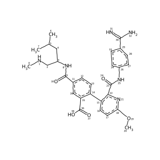 CNCC(CC(C)C)NC(=O)c1ccc(-c2ccc(OC)nc2C(=O)Nc2ccc(C(=N)N)cc2)c(C(=O)O)c1